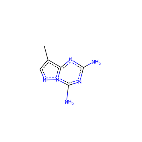 Cc1cnn2c(N)nc(N)nc12